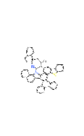 CCC1=C(c2ccc3sc4ccccc4c3c2)C(n2c3ccc4c5ccccc5c5ccccc5c4c3c3ccc4ccccc4c32)=Nc2ccc3ccccc3c2C1